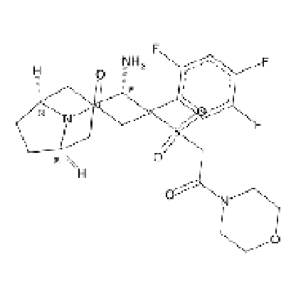 N[C@H](Cc1cc(F)c(F)cc1F)C1C[C@H]2CC[C@@H](C1)N2C(=O)CCS(=O)(=O)CC(=O)N1CCOCC1